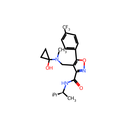 CC(C)[C@H](C)NC(=O)c1noc(-c2ccc(C(F)(F)F)cc2)c1CN(C)C1(O)CC1